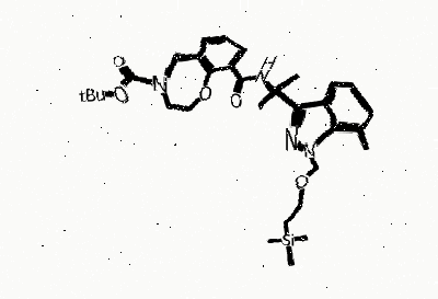 Cc1cccc2c(C(C)(C)NC(=O)c3cccc4c3OCCN(C(=O)OC(C)(C)C)C4)nn(COCC[Si](C)(C)C)c12